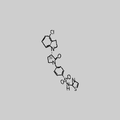 O=C1[C@@H](N2CCc3c(Cl)cccc32)CCN1c1ccc(S(=O)(=O)Nc2nccs2)cc1